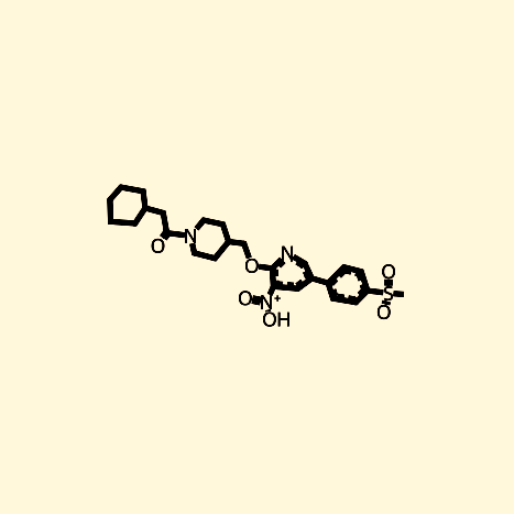 CS(=O)(=O)c1ccc(-c2cnc(OCC3CCN(C(=O)CC4CCCCC4)CC3)c([N+](=O)O)c2)cc1